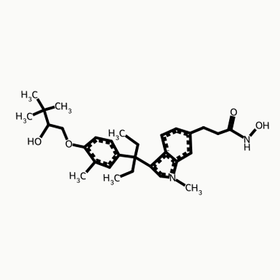 CCC(CC)(c1ccc(OCC(O)C(C)(C)C)c(C)c1)c1cn(C)c2cc(CCC(=O)NO)ccc12